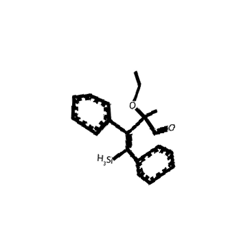 CCOC(C)(C=O)C(=C([SiH3])c1ccccc1)c1ccccc1